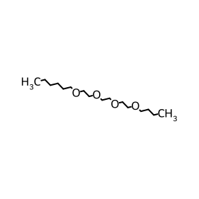 CCCCCCOCCOCCOCCOCCCC